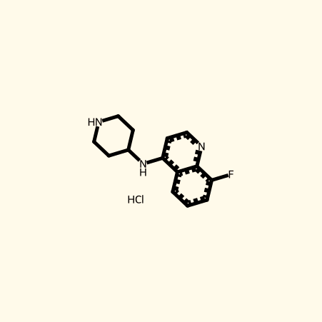 Cl.Fc1cccc2c(NC3CCNCC3)ccnc12